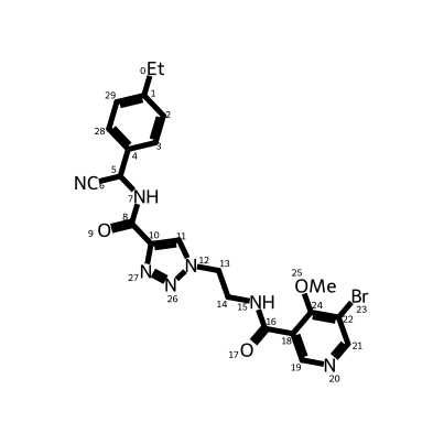 CCc1ccc(C(C#N)NC(=O)c2cn(CCNC(=O)c3cncc(Br)c3OC)nn2)cc1